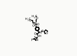 COCCN(CCOC)S(=O)(=O)c1ccc(/C(=N\O[C@@H]2CCOC2)C(=O)Nc2ncc(F)s2)cc1